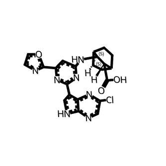 O=C(O)[C@H]1C2CCC(CC2)[C@@H]1Nc1cc(-c2ncco2)nc(-c2c[nH]c3ncc(Cl)nc23)n1